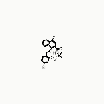 CC(C)(NC(=O)c1cc(F)c2ccccc2c1OCc1ccc(Br)cc1)C(=O)O